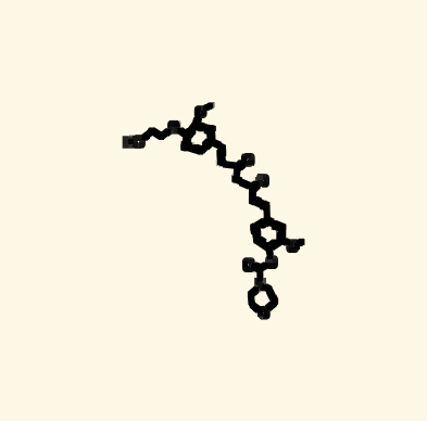 COc1cc(C=CC(=O)CC(=O)C=Cc2ccc(OC(=O)N3CCOCC3)c(OC)c2)ccc1OCCO